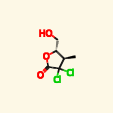 C[C@@H]1[C@@H](CO)OC(=O)C1(Cl)Cl